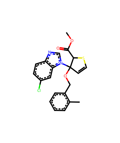 COC(=O)C1SC=CC1(OCc1ccccc1C)n1cnc2ccc(Cl)cc21